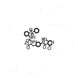 COC(=O)C(Cc1ccc(NC(=O)c2c(Cl)cncc2Cl)cc1)NC(=O)Nc1ccccc1S(=O)(=O)c1ccccc1